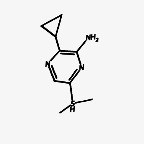 C[SH](C)c1cnc(C2CC2)c(N)n1